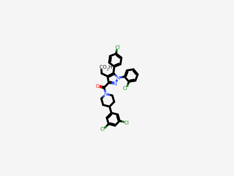 O=C(O)Cc1c(C(=O)N2CCC(c3cc(Cl)cc(Cl)c3)CC2)nn(-c2ccccc2Cl)c1-c1ccc(Cl)cc1